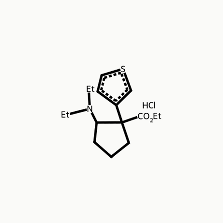 CCOC(=O)C1(c2ccsc2)CCCC1N(CC)CC.Cl